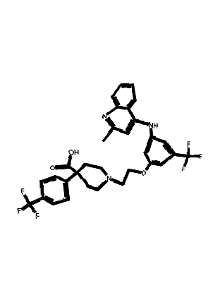 Cc1cc(Nc2cc(OCCN3CCC(C(=O)O)(c4ccc(C(F)(F)F)cc4)CC3)cc(C(F)(F)F)c2)c2ccccc2n1